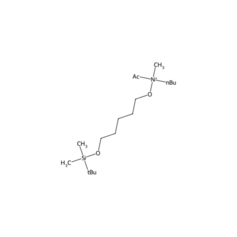 CCCC[N+](C)(OCCCCCO[Si](C)(C)C(C)(C)C)C(C)=O